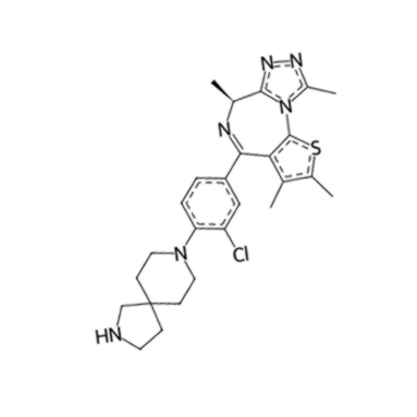 Cc1sc2c(c1C)C(c1ccc(N3CCC4(CCNC4)CC3)c(Cl)c1)=N[C@@H](C)c1nnc(C)n1-2